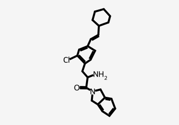 NC(Cc1ccc(C=CC2CCCCC2)cc1Cl)C(=O)N1Cc2ccccc2C1